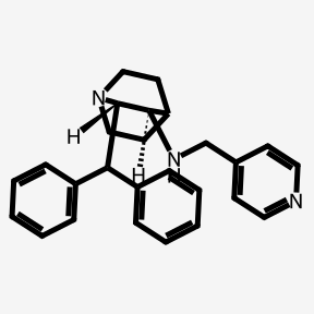 c1ccc(C(c2ccccc2)[C@H]2[C@H](NCc3ccncc3)C3CCN2CC3)cc1